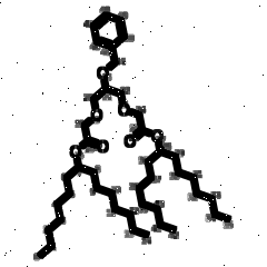 CCCCCCCC(CCCCCCC)OC(=O)COCC(COCC(=O)OC(CCCCCCC)CCCCCCC)OCc1ccccc1